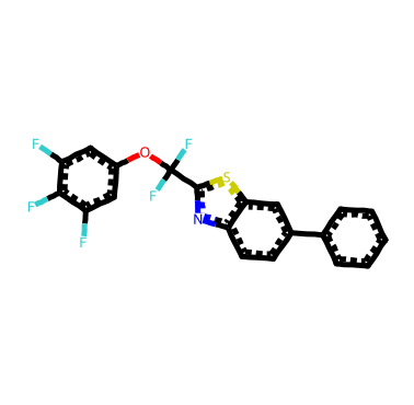 Fc1cc(OC(F)(F)c2nc3ccc(-c4ccccc4)cc3s2)cc(F)c1F